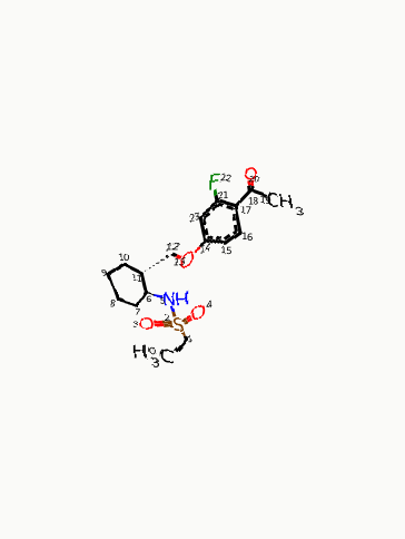 CCS(=O)(=O)N[C@H]1CCCC[C@@H]1COc1ccc(C(C)=O)c(F)c1